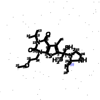 BC(B)(c1sc2c(c1C)c(=O)n(C(C)C)c(=O)n2CCOC)N1CCN/C1=N\C